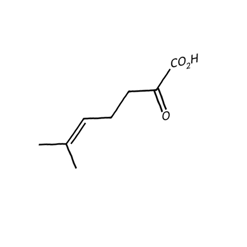 CC(C)=CCCC(=O)C(=O)O